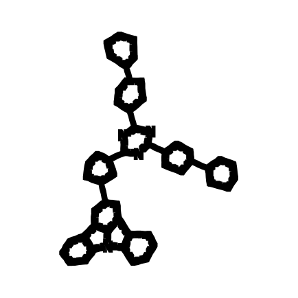 c1ccc(-c2ccc(-c3nc(-c4ccc(-c5ccccc5)cc4)nc(-c4cccc(-c5cc6c7ccccc7n7c8ccccc8c(c5)c67)c4)n3)cc2)cc1